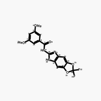 COc1cc(OC)cc(C(=O)Nc2nc3cc4c(cc3[nH]2)OC(F)(F)O4)c1